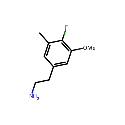 COc1cc(CCN)cc(C)c1F